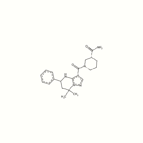 CC1(C)CC(c2ccccc2)Nc2c(C(=O)N3CCCC(C(N)=O)C3)cnn21